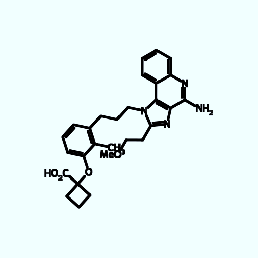 COCCc1nc2c(N)nc3ccccc3c2n1CCCc1cccc(OC2(C(=O)O)CCC2)c1C